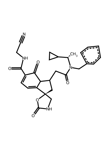 C[C@@H](C1CC1)N(Cc1ccccc1)C(=O)CC1C[C@]2(CNC(=O)O2)C2=CC=C(C(=O)NCC#N)C(=O)C21